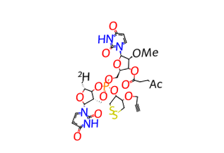 [2H]C[C@H]1O[C@@H](n2ccc(=O)[nH]c2=O)[C@@H](C)C1OP(=O)(OC[C@H]1O[C@@H](n2ccc(=O)[nH]c2=O)[C@@H](OC)C1OC(=O)CCC(C)=O)OC1CSSC[C@H]1OCC#C